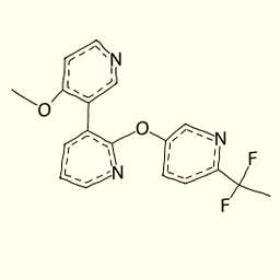 COc1ccncc1-c1cccnc1Oc1ccc(C(C)(F)F)nc1